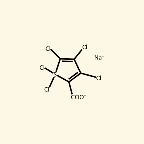 O=C([O-])C1=C(Cl)C(Cl)=C(Cl)S1(Cl)Cl.[Na+]